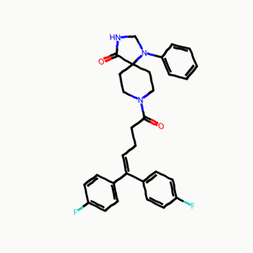 O=C(CCC=C(c1ccc(F)cc1)c1ccc(F)cc1)N1CCC2(CC1)C(=O)NCN2c1ccccc1